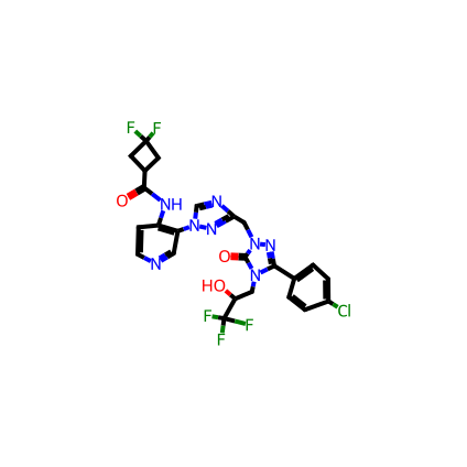 O=C(Nc1ccncc1-n1cnc(Cn2nc(-c3ccc(Cl)cc3)n(CC(O)C(F)(F)F)c2=O)n1)C1CC(F)(F)C1